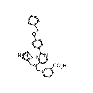 O=C(O)c1cccc(CN(Cc2cccs2)c2ccnc(-c3ccc(OCc4ccccc4)cc3)n2)c1.[NaH]